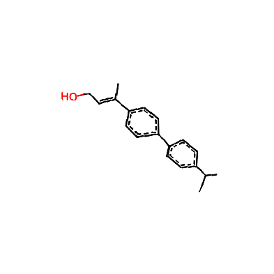 CC(=CCO)c1ccc(-c2ccc(C(C)C)cc2)cc1